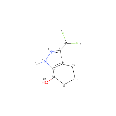 Cn1nc(C(F)F)c2c1C(O)CCC2